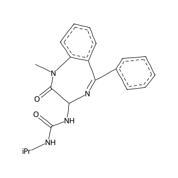 CC(C)NC(=O)NC1N=C(c2ccccc2)c2ccccc2N(C)C1=O